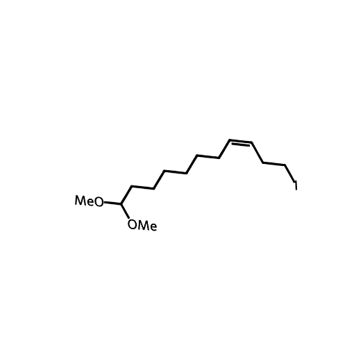 COC(CCCCCC/C=C\CCI)OC